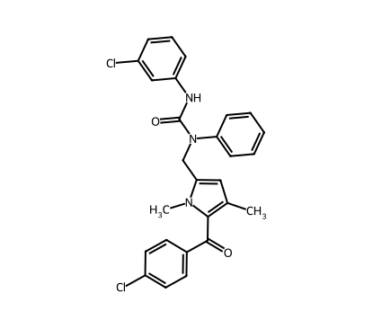 Cc1cc(CN(C(=O)Nc2cccc(Cl)c2)c2ccccc2)n(C)c1C(=O)c1ccc(Cl)cc1